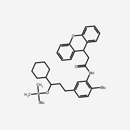 CC(C)(C)c1ccc(CCC(O[Si](C)(C)C(C)(C)C)C2CCCCC2)cc1NC(=O)CC1c2ccccc2Oc2ccccc21